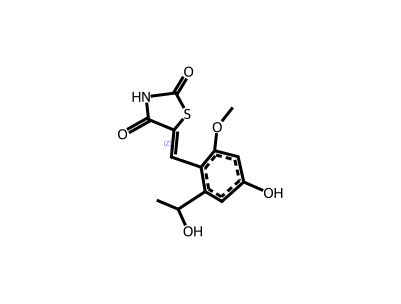 COc1cc(O)cc(C(C)O)c1/C=C1\SC(=O)NC1=O